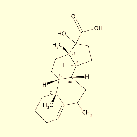 CC1C[C@@H]2[C@@H](CC[C@@]3(C)[C@H]2CCC3(O)C(=O)O)[C@@]2(C)CCCC=C12